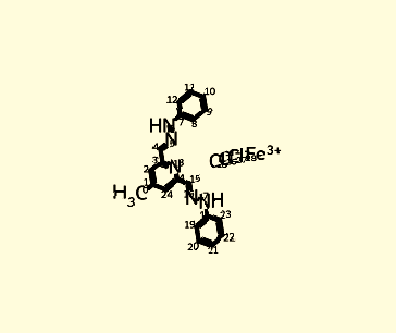 Cc1cc(C=NNc2ccccc2)nc(C=NNc2ccccc2)c1.[Cl-].[Cl-].[Cl-].[Fe+3]